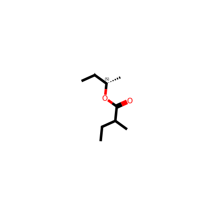 C[CH][C@H](C)OC(=O)C(C)CC